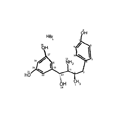 Br.C[C@H](Cc1ccc(O)cc1)C(N)[C@H](O)c1cc(O)cc(O)c1